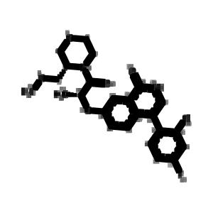 COC[C@@H]1COCCN1C(=O)[C@@H](C)Oc1ccc2c(-c3ccc(F)cc3Cl)c[nH]c(=O)c2c1